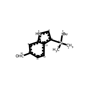 CC(C)(C)[Si](C)(C)c1c[nH]c2cc(C=O)ccc12